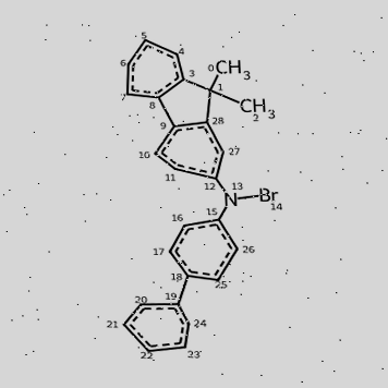 CC1(C)c2ccccc2-c2ccc(N(Br)c3ccc(-c4ccccc4)cc3)cc21